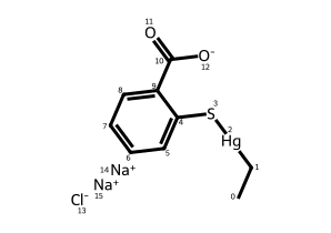 C[CH2][Hg][S]c1ccccc1C(=O)[O-].[Cl-].[Na+].[Na+]